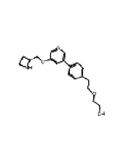 OCCOCCc1ccc(-c2cncc(OC[C@@H]3CCN3)c2)cc1